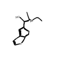 CCNC(C)C(O)c1ccc2sccc2c1